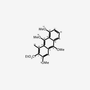 CCOC(=O)c1c(OC)cc2c(OC)c3cccc(OC)c3c(OC)c2c1C